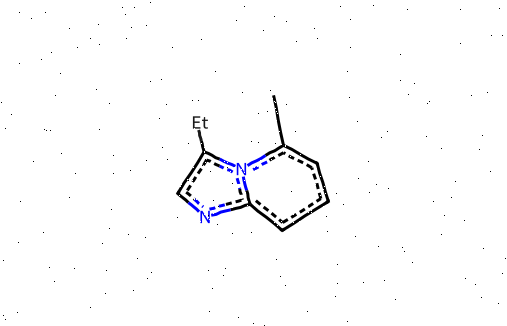 CCc1cnc2cccc(C)n12